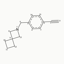 C#Cc1ccc(CN2CC3(CCC3)C2)cc1